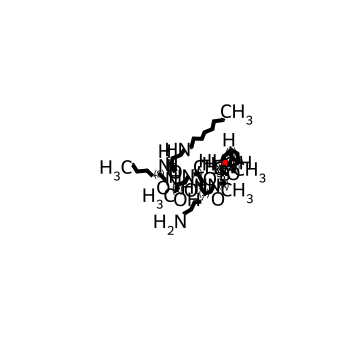 CCCCCCCCNCCC(=O)N[C@@H](CCCCC)C(=O)N[C@H](C(=O)N[C@@H](C)C(=O)N[C@@H](CCCCN)C(=O)N[C@@H](C)B1O[C@@H]2C[C@@H]3C[C@@H](C3(C)C)[C@]2(C)O1)[C@@H](C)O